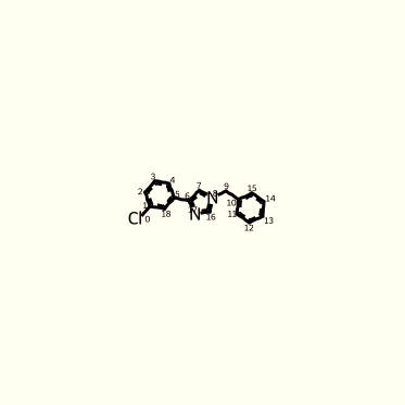 Clc1cccc(-c2cn(Cc3ccccc3)cn2)c1